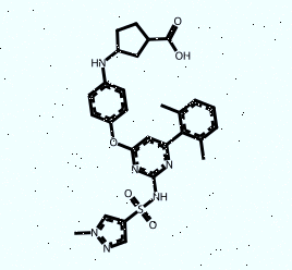 Cc1cccc(C)c1-c1cc(Oc2ccc(NC3CCC(C(=O)O)C3)cc2)nc(NS(=O)(=O)c2cnn(C)c2)n1